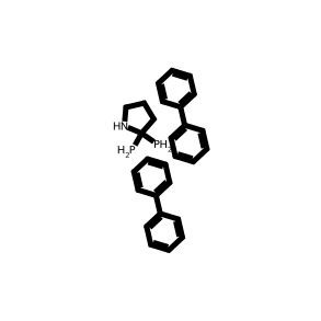 PC1(P)CCCN1.c1ccc(-c2ccccc2)cc1.c1ccc(-c2ccccc2)cc1